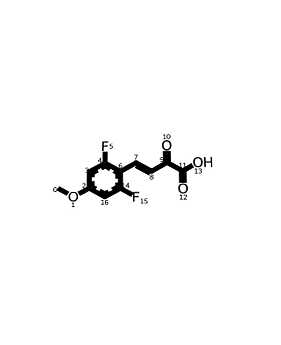 COc1cc(F)c(C=CC(=O)C(=O)O)c(F)c1